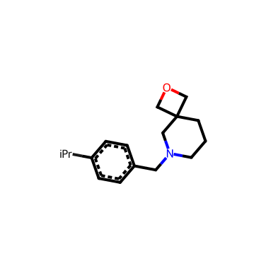 CC(C)c1ccc(CN2CCCC3(COC3)C2)cc1